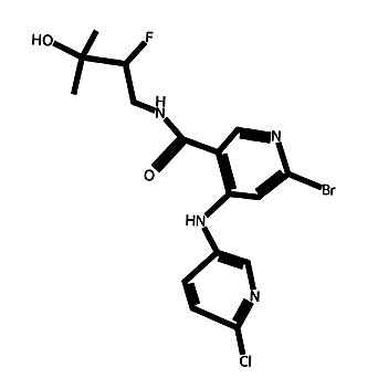 CC(C)(O)C(F)CNC(=O)c1cnc(Br)cc1Nc1ccc(Cl)nc1